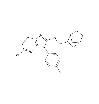 Cc1ccc(-n2c(OCC3CC4CCC3C4)nc3ccc(Cl)nc32)cc1